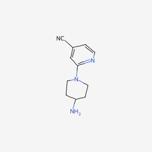 N#Cc1ccnc(N2CCC(N)CC2)c1